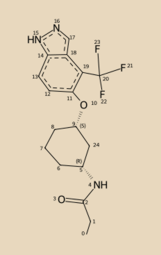 CCC(=O)N[C@@H]1CCC[C@H](Oc2ccc3[nH]ncc3c2C(F)(F)F)C1